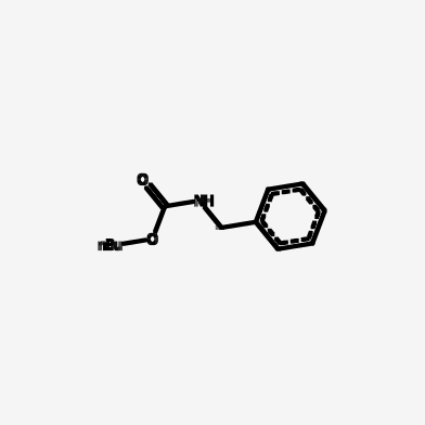 CCCCOC(=O)N[CH]c1ccccc1